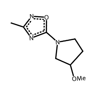 COC1CCN(c2nc(C)no2)C1